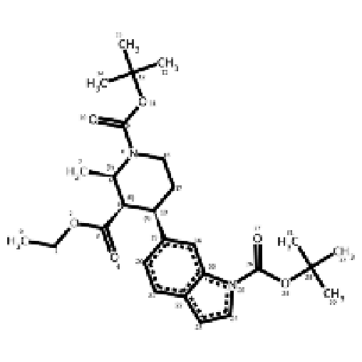 CCOC(=O)[C@H]1[C@@H](C)N(C(=O)OC(C)(C)C)CC[C@H]1c1ccc2ccn(C(=O)OC(C)(C)C)c2c1